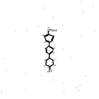 CCCCCc1ccc(-c2ccc(C3CCC(CC)CC3)cc2)cc1